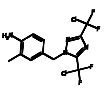 Cc1cc(Cn2nc(C(F)(F)Cl)nc2C(F)(F)Cl)ccc1N